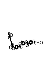 C=CC(=O)OCCCCOC(=O)Oc1ccc(C(=O)Oc2ccc(OC(=O)c3ccc(OC=O)cc3)cc2C)cc1